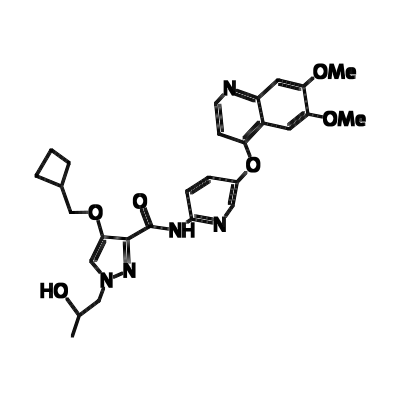 COc1cc2nccc(Oc3ccc(NC(=O)c4nn(CC(C)O)cc4OCC4CCC4)nc3)c2cc1OC